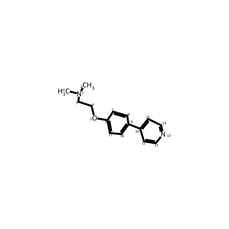 CN(C)CCOc1ccc(-c2ccncc2)cc1